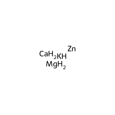 [CaH2].[KH].[MgH2].[Zn]